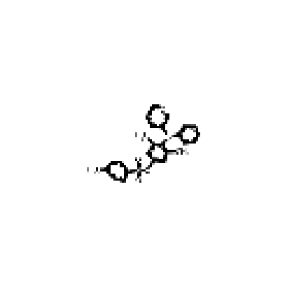 Cc1ccc(S(=O)(=O)Oc2cc(C)c([S+](c3ccccc3)c3ccccc3)c(C)c2)cc1